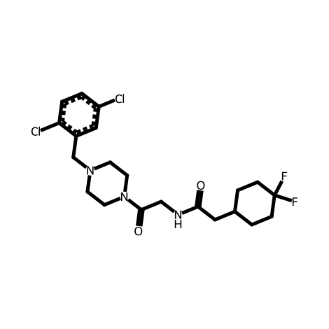 O=C(CC1CCC(F)(F)CC1)NCC(=O)N1CCN(Cc2cc(Cl)ccc2Cl)CC1